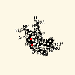 CC[C@H](NC(=O)CNC(=O)[C@@H]1CCCN1C(=O)[C@H](Cc1c[nH]c2ccccc12)NC(=O)[C@H](Cc1ccc2ccccc2c1)NC(=O)CNC(=O)[C@H](CCCNC(=N)N)NC(=O)[C@@H](CCCNC(=N)N)NC(=O)[C@H](CS)NC(C)=O)C(=O)NCC(=O)NC(C(=O)O)C(C)(C)C